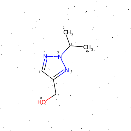 CC(C)n1ncc(CO)n1